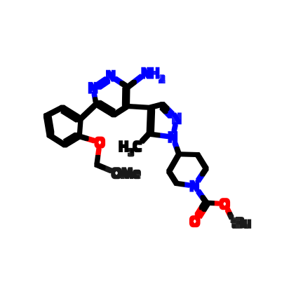 COCOc1ccccc1-c1cc(-c2cnn(C3CCN(C(=O)OC(C)(C)C)CC3)c2C)c(N)nn1